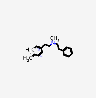 C=C/C=C\C(=C/C)CCN(C)CCc1ccccc1